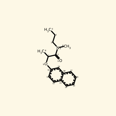 CCCN(C)C(=O)C(C)Oc1ccc2ccccc2c1